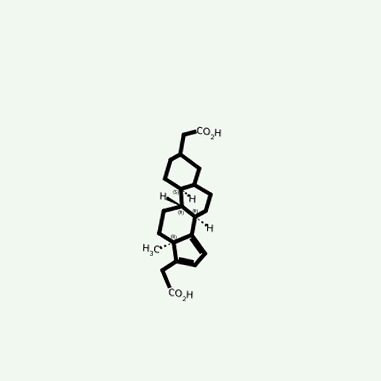 C[C@]12CC[C@H]3[C@@H](CCC4CC(CC(=O)O)CC[C@@H]43)C1=CC=C2CC(=O)O